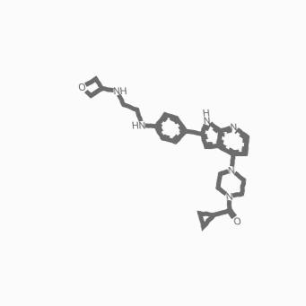 O=C(C1CC1)N1CCN(c2ccnc3[nH]c(-c4ccc(NCCNC5COC5)cc4)cc23)CC1